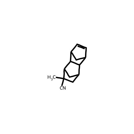 CC1(C#N)CC2CC1C1C3C=CC(C3)C21